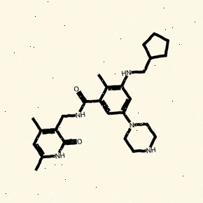 Cc1cc(C)c(CNC(=O)c2cc(N3CCNCC3)cc(NCC3CCCC3)c2C)c(=O)[nH]1